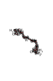 Cc1cc(S(=O)(=O)N2CC[C@@H](COc3ccnc(CNC(=O)NCCCCNC(=O)NCc4cc(OC[C@@H]5CCN(S(=O)(=O)c6ccc(O[C@H]7c8cc(Cl)cc(Cl)c8C[C@@H]7N(C)C)c(C)c6)C5)ccn4)c3)C2)ccc1O[C@H]1c2cc(Cl)cc(Cl)c2C[C@@H]1N(C)C